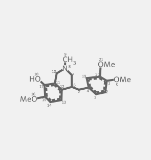 COc1ccc(CC2CN(C)Cc3c2ccc(OC)c3O)cc1OC